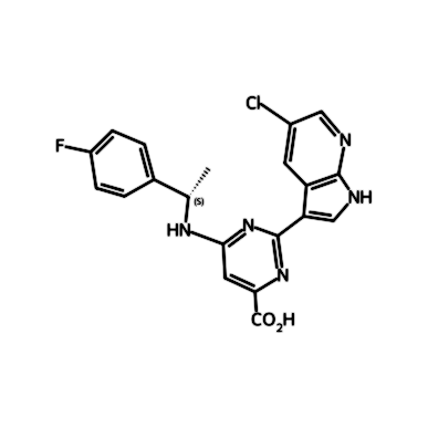 C[C@H](Nc1cc(C(=O)O)nc(-c2c[nH]c3ncc(Cl)cc23)n1)c1ccc(F)cc1